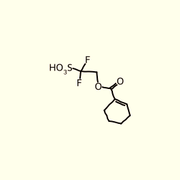 O=C(OCC(F)(F)S(=O)(=O)O)C1=CCCCC1